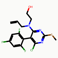 C=CCN(CCO)c1nc(SC)nc(Cl)c1-c1c(F)cc(F)cc1F